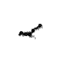 COc1cccc(NC(=O)N2CCN(c3cc(N)nc(NCc4ccc(CNCCCNC5CCCCC5)cc4)n3)CC2)c1